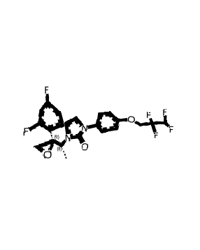 C[C@@H](n1ccn(-c2ccc(OCC(F)(F)C(F)F)cc2)c1=O)[C@]1(c2ccc(F)cc2F)CO1